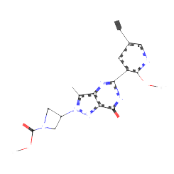 C#Cc1cnc(OCCC)c(-c2nc3c(CC)n(C4CN(C(=O)OC(C)(C)C)C4)nc3c(=O)[nH]2)c1